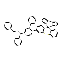 c1ccc(CCC(c2ccccc2)c2ccc(-c3ccc4c(c3)Sc3ccccc3C43c4ccccc4-c4ccccc43)c(-c3ccccc3)c2)cc1